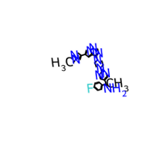 CCn1cc(-c2cc3c(N4CCN(c5ncc(C(C)(N)c6ccc(F)cc6)cn5)CC4)ncnn3c2)cn1